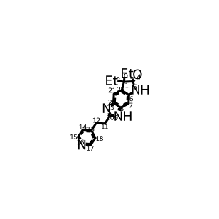 CCC1(CC)C(=O)Nc2cc3[nH]c(CCc4ccncc4)nc3cc21